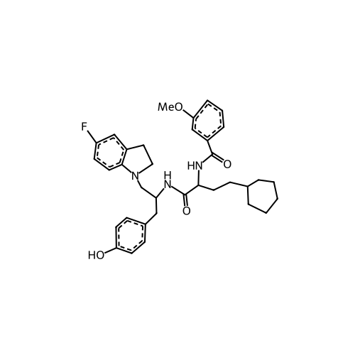 COc1cccc(C(=O)NC(CCC2CCCCC2)C(=O)NC(Cc2ccc(O)cc2)CN2CCc3cc(F)ccc32)c1